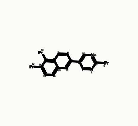 CC(C)c1ncc(-c2ccc3c(C(C)C)c(C(C)C)ccc3c2)cn1